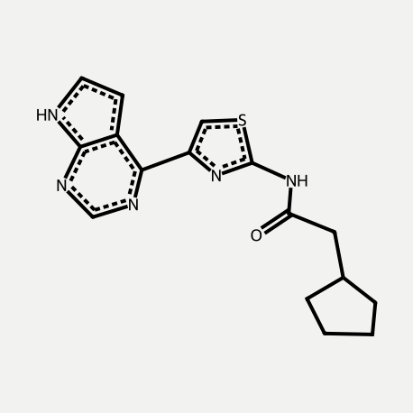 O=C(CC1CCCC1)Nc1nc(-c2ncnc3[nH]ccc23)cs1